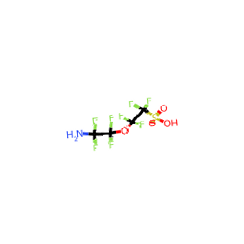 NC(F)(F)C(F)(F)OC(F)(F)C(F)(F)S(=O)(=O)O